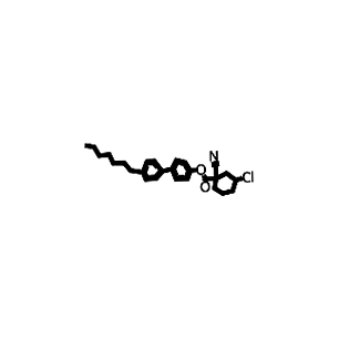 CCCCCCCc1ccc(-c2ccc(OC(=O)C3(C#N)CCCC(Cl)C3)cc2)cc1